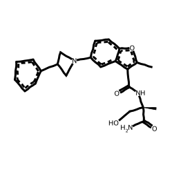 Cc1oc2ccc(N3CC(c4ccccc4)C3)cc2c1C(=O)N[C@@](C)(CO)C(N)=O